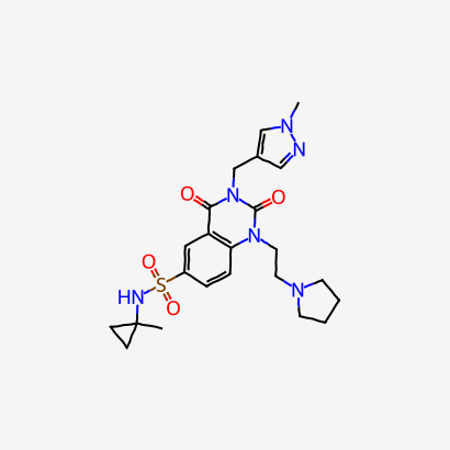 Cn1cc(Cn2c(=O)c3cc(S(=O)(=O)NC4(C)CC4)ccc3n(CCN3CCCC3)c2=O)cn1